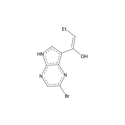 CC/C=C(/O)c1c[nH]c2ncc(Br)nc12